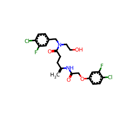 C=C(CCC(=O)N(CCO)Cc1ccc(Cl)c(F)c1)NC(=O)COc1ccc(Cl)c(F)c1